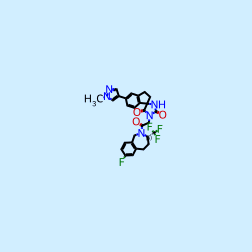 Cn1cc(-c2ccc3c(c2)CCC32NC(=O)N(CC(=O)N3Cc4ccc(F)cc4CC[C@H]3C(F)(F)F)C2=O)cn1